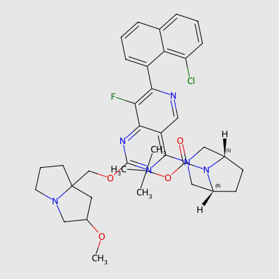 COC1CN2CCCC2(COc2nc(N3C[C@H]4CC[C@@H](C3)N4C(=O)OC(C)(C)C)c3cnc(-c4cccc5cccc(Cl)c45)c(F)c3n2)C1